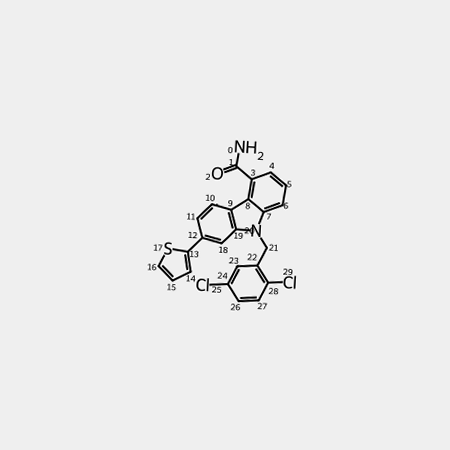 NC(=O)c1cccc2c1c1[c]cc(-c3cccs3)cc1n2Cc1cc(Cl)ccc1Cl